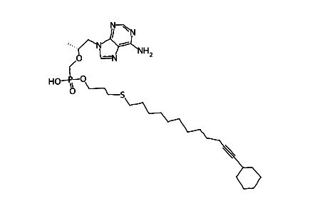 C[C@H](Cn1cnc2c(N)ncnc21)OCP(=O)(O)OCCCSCCCCCCCCCCC#CC1CCCCC1